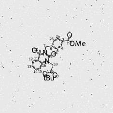 COC(=O)c1ccc(Cn2c(=O)c3ccccc3n(CC(=O)OC(C)(C)C)c2=O)cc1